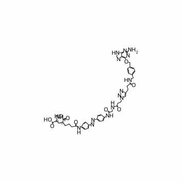 Nc1nc(OCc2ccc(CNC(=O)CCc3cn(CCC(=O)NCC(=O)Nc4ccc(/N=N/c5ccc(NC(=O)CCC[C@@H](C[C@H](N)C(=O)O)C(=O)O)cc5)cc4)nn3)cc2)c2nc[nH]c2n1